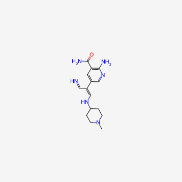 CN1CCC(N/C=C(\C=N)c2cnc(N)c(C(N)=O)c2)CC1